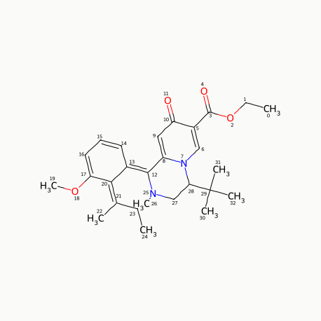 CCOC(=O)c1cn2c(cc1=O)/C(=c1\cccc(OC)\c1=C(/C)CC)N(C)CC2C(C)(C)C